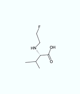 CC(C)[C@H](NCCF)C(=O)O